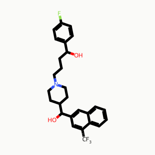 OC(CCCN1CCC(C(O)c2cc(C(F)(F)F)c3ccccc3c2)CC1)c1ccc(F)cc1